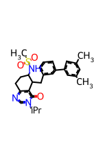 Cc1cc(C)cc(-c2cccc(CC3c4c(ncn(C(C)C)c4=O)CCC3NS(C)(=O)=O)c2)c1